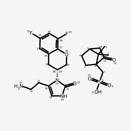 CC1(C)C2CCC1(CS(=O)(=O)O)C(=O)C2.NCCc1c[nH]c(=S)n1[C@H]1COc2c(F)cc(F)cc2C1